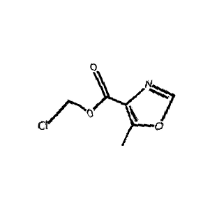 Cc1ocnc1C(=O)OCCl